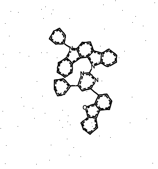 c1ccc(-c2cc(-c3cccc4c3oc3ccccc34)nc(-n3c4ccccc4c4ccc5c(c6ccccc6n5-c5ccccc5)c43)n2)cc1